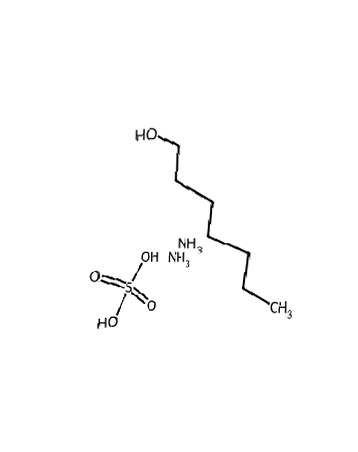 CCCCCCCO.N.N.O=S(=O)(O)O